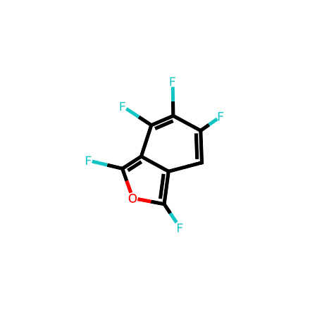 Fc1cc2c(F)oc(F)c2c(F)c1F